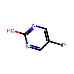 CC(C)c1cnc(O)nc1